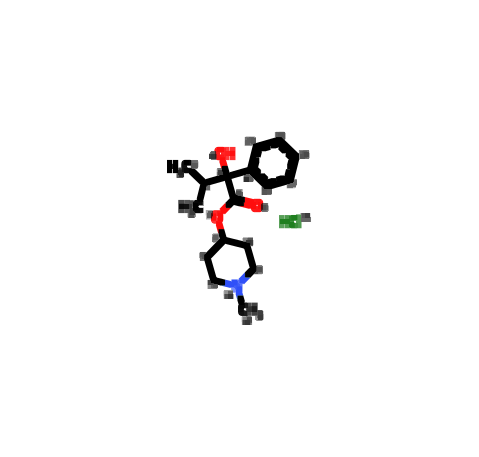 CC(C)C(O)(C(=O)OC1CCN(C)CC1)c1ccccc1.Cl